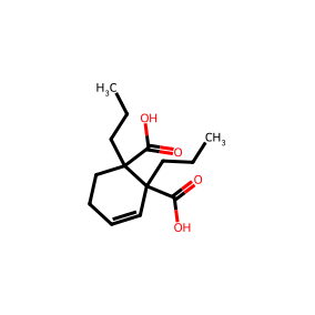 CCCC1(C(=O)O)C=CCCC1(CCC)C(=O)O